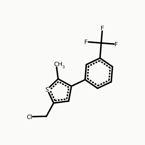 Cc1sc(CCl)cc1-c1cccc(C(F)(F)F)c1